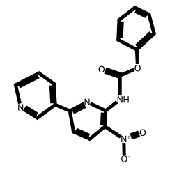 O=C(Nc1nc(-c2cccnc2)ccc1[N+](=O)[O-])Oc1ccccc1